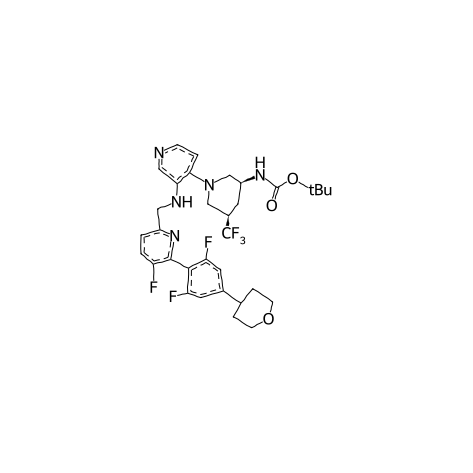 CC(C)(C)OC(=O)N[C@H]1C[C@@H](C(F)(F)F)CN(c2ccncc2NCc2ccc(F)c(-c3c(F)cc(C4CCOCC4)cc3F)n2)C1